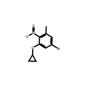 Cc1cc(Br)cc(OC2CC2)c1[N+](=O)[O-]